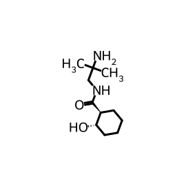 CC(C)(N)CNC(=O)[C@H]1CCCC[C@@H]1O